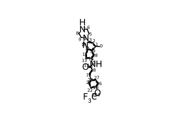 Cc1cc(N2CCNCC2)nc2ccc(NC(=O)C=Cc3ccc(OC(F)(F)F)cc3)cc12